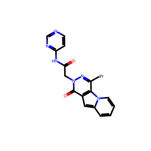 CC(C)c1nn(CC(=O)Nc2ccncn2)c(=O)c2cc3ccccn3c12